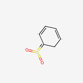 O=S(=O)=C1[C]=CC=[C]C1